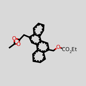 CCOC(=O)OCc1cc2c3ccccc3c(CC3OC(C)O3)cc2c2ccccc12